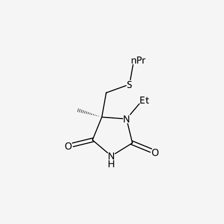 CCCSC[C@]1(C)C(=O)NC(=O)N1CC